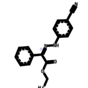 CCOC(=O)/C(=N\Nc1ccc(C#N)cc1)c1ccccc1